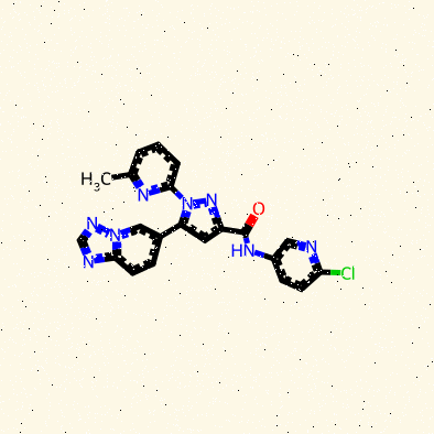 Cc1cccc(-n2nc(C(=O)Nc3ccc(Cl)nc3)cc2-c2ccc3ncnn3c2)n1